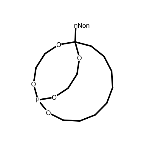 CCCCCCCCCC12CCCCCCCCOP(OCCO1)OCCO2